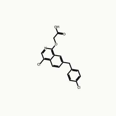 O=C(O)COc1ncc(Cl)c2ccc(Cc3ccc(Cl)cc3)cc12